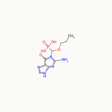 CCCOC(n1c(N)nc2[nH]cnc2c1=O)P(=O)(O)O